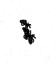 CCCCC(CC)Cn1c2ccc(C(=O)c3c(OCC)ccc4ccccc34)cc2c2cc(C(=NCC(=O)O)c3ccccc3OCCCCCCOc3ccccc3C(=NOC(C)=O)c3ccc4c(c3)c3cc(C(=O)c5c(OCC)ccc6ccccc56)ccc3n4CC(CC)CCCC)ccc21